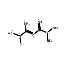 CCCCN(CCCC)C(=N)/N=C(\N)N(CCCC)CCCC